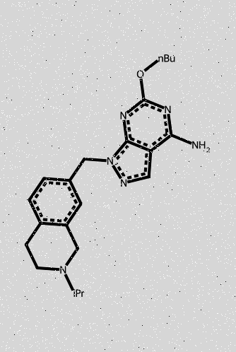 CCCCOc1nc(N)c2cnn(Cc3ccc4c(c3)CN(C(C)C)CC4)c2n1